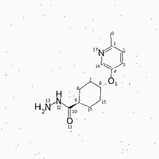 Cc1ccc(O[C@H]2CC[C@H](C(=O)NN)CC2)cn1